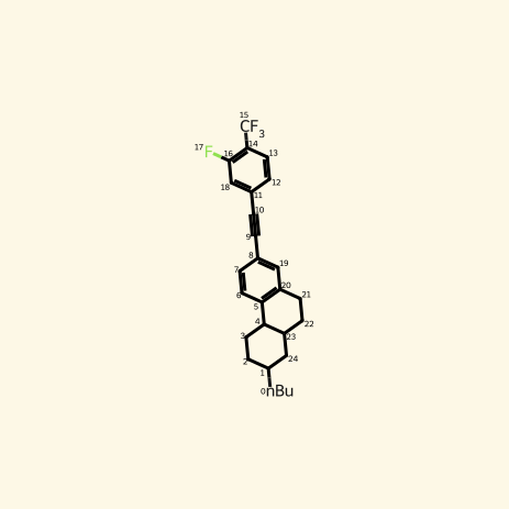 CCCCC1CCC2c3ccc(C#Cc4ccc(C(F)(F)F)c(F)c4)cc3CCC2C1